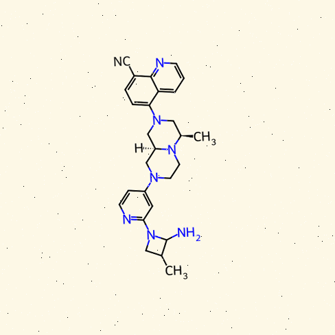 CC1CN(c2cc(N3CCN4[C@@H](C3)CN(c3ccc(C#N)c5ncccc35)C[C@H]4C)ccn2)C1N